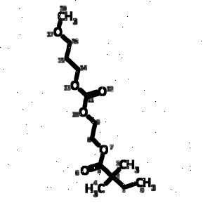 CCC(C)(C)C(=O)OCCOC(=O)OCCCOC